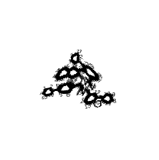 c1ccc(-c2ccc(-c3nc(-c4ccc5oc6ccccc6c5c4)nc(-c4cccc(-c5ccccc5)c4-c4ccc5ccccc5c4)n3)cc2)cc1